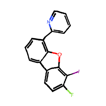 Fc1ccc2c(oc3c(-c4ccccn4)cccc32)c1I